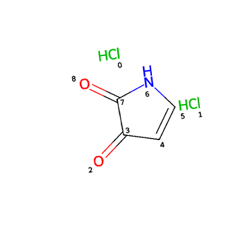 Cl.Cl.O=C1C=CNC1=O